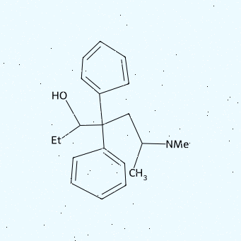 CCC(O)C(CC(C)NC)(c1ccccc1)c1ccccc1